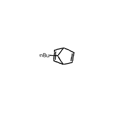 CCCCC1C2C=CC1C=C2